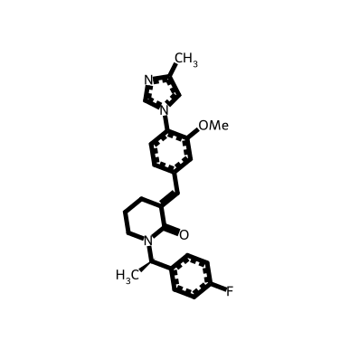 COc1cc(/C=C2\CCCN([C@H](C)c3ccc(F)cc3)C2=O)ccc1-n1cnc(C)c1